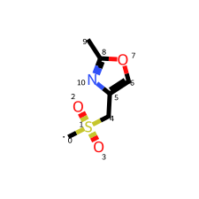 [CH2]S(=O)(=O)Cc1coc(C)n1